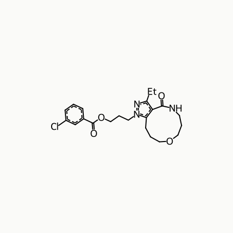 CCc1nn(CCCOC(=O)c2cccc(Cl)c2)c2c1C(=O)NCCCOCCC2